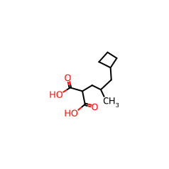 CC(CC1CCC1)CC(C(=O)O)C(=O)O